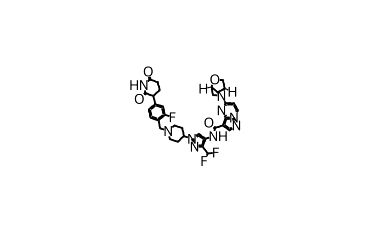 O=C1CCC(c2ccc(CN3CCC(n4cc(NC(=O)c5cnn6ccc(N7C[C@H]8C[C@@H]7CO8)nc56)c(C(F)F)n4)CC3)c(F)c2)C(=O)N1